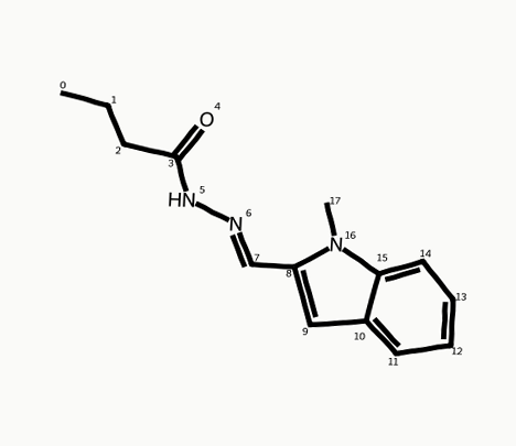 CCCC(=O)NN=Cc1cc2ccccc2n1C